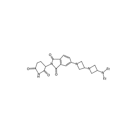 CCN(CC)C1CN(C2CN(c3ccc4c(c3)C(=O)N(C3CCC(=O)NC3=O)C4=O)C2)C1